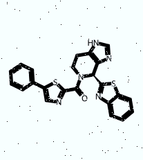 O=C(c1ncc(-c2ccccc2)s1)N1CCc2[nH]cnc2[C@H]1c1nc2ccccc2s1